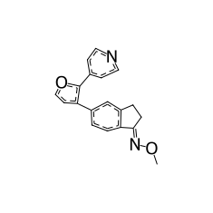 CON=C1CCc2cc(-c3ccoc3-c3ccncc3)ccc21